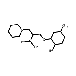 CC1CCC(C(C)C)C(OCC(CN2CCCCC2)N(C(C)C)C(C)C)C1